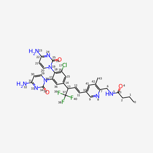 CCCC(=O)NCc1ncc(/C=C/C(c2cc(Cl)c(-n3ccc(N)nc3=O)c(-n3ccc(N)nc3=O)c2)C(F)(F)F)cc1C